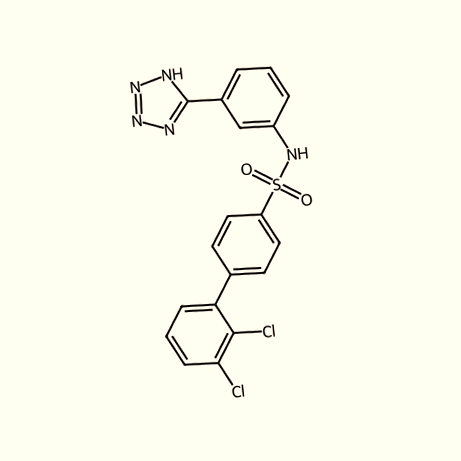 O=S(=O)(Nc1cccc(-c2nnn[nH]2)c1)c1ccc(-c2cccc(Cl)c2Cl)cc1